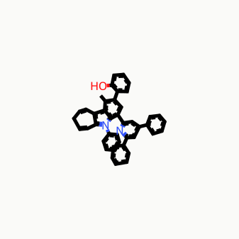 Cc1c(-c2ccccc2O)cc(-c2cc(-c3ccccc3)cc(-c3ccccc3)n2)c2c1c1c(n2-c2ccccc2)C=CCC=C1